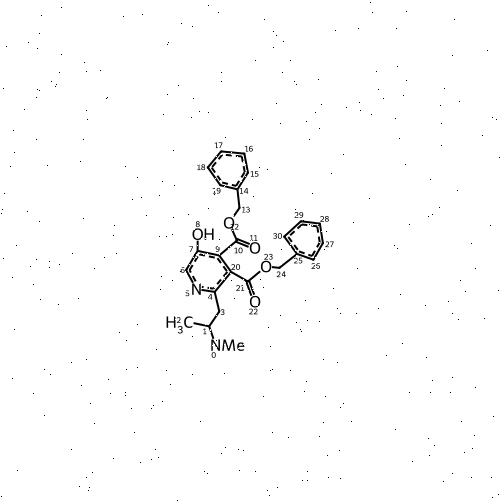 CNC(C)Cc1ncc(O)c(C(=O)OCc2ccccc2)c1C(=O)OCc1ccccc1